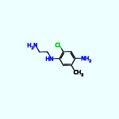 Cc1cc(NCCN)c(Cl)cc1N